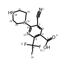 N#Cc1cc(C(=O)O)c(C(F)(F)F)nc1N1CCNCC1